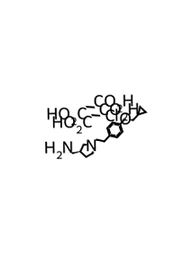 NC[C@@H]1CCN(CCc2ccc(OCC3CC3)c(Cl)c2)C1.O=C(O)CCC(=O)O.O=C(O)CCC(=O)O